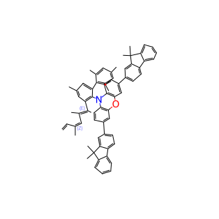 C=C/C(C)=C\C(C)=C(/C)c1cc(C)cc(-c2c(C)cc(C)cc2C)c1N1c2ccc(-c3ccc4c(c3)C(C)(C)c3ccccc3-4)cc2Oc2cc(-c3ccc4c(c3)C(C)(C)c3ccccc3-4)ccc21